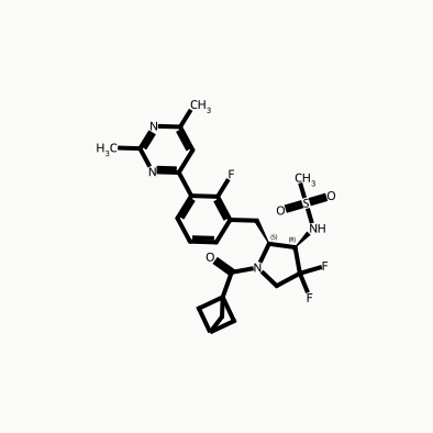 Cc1cc(-c2cccc(C[C@H]3[C@@H](NS(C)(=O)=O)C(F)(F)CN3C(=O)C34CC(C3)C4)c2F)nc(C)n1